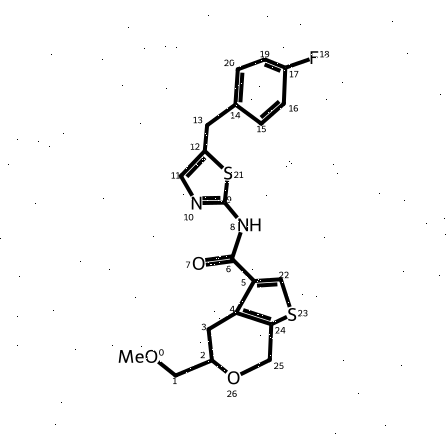 COCC1Cc2c(C(=O)Nc3ncc(Cc4ccc(F)cc4)s3)csc2CO1